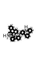 C=CC1=C(C=C)C2CC(N(c3ccc4c(c3)-c3cccc(c3)-c3ccccc3N4)c3cccc4c3oc3ccccc34)=CC=C2C2=CC=CCC21